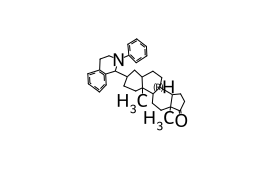 CC12CCC3[C@@H](CCC4CC(C5c6ccccc6CCN5c5ccccc5)CCC43C)C1CCC2=O